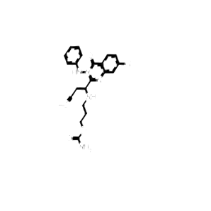 C#CCC(NCCCOC(N)=O)c1nc2cc(Cl)ccc2c(=O)n1Nc1ccccc1